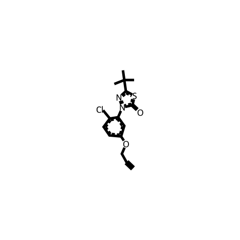 C#CCOc1ccc(Cl)c(-n2nc(C(C)(C)C)sc2=O)c1